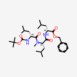 CC(C)C[C@@H](NC(=O)[C@H](CC(C)C)N(C)C(=O)[C@@H](CC(C)C)NC(=O)OC(C)(C)C)C(=O)OCc1ccccc1